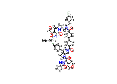 CN[C@@H](C)C(=O)N[C@H](C(=O)N1CCC[C@H]1CN(CCc1ccc(F)cc1)C(=O)c1ccc(-c2ccc(C(=O)N(CCc3ccc(F)cc3)C[C@@H]3CCCN3C(=O)[C@@H](NC(=O)C3(C)CCCC3)C3CCOCC3)cc2)cc1)C1CCOCC1